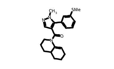 CSc1cccc(-c2c(C(=O)N3CCCC4CCCC=C43)cnn2C)c1